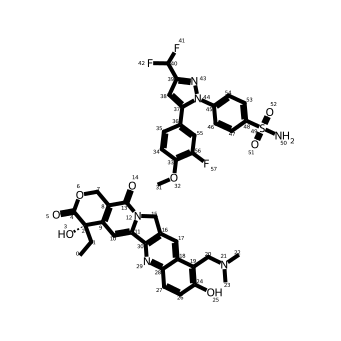 CC[C@@]1(O)C(=O)OCc2c1cc1n(c2=O)Cc2cc3c(CN(C)C)c(O)ccc3nc2-1.COc1ccc(-c2cc(C(F)F)nn2-c2ccc(S(N)(=O)=O)cc2)cc1F